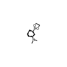 CN(C)c1cccc(B2OCCO2)c1